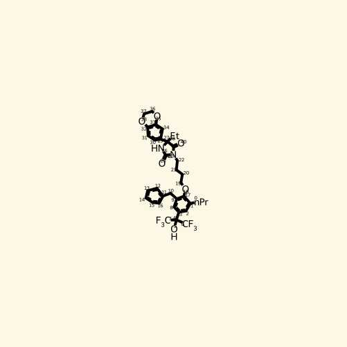 CCCc1cc(C(O)(C(F)(F)F)C(F)(F)F)cc(Cc2ccccc2)c1OCCCCN1C(=O)NC(CC)(c2ccc3c(c2)OCCO3)C1=O